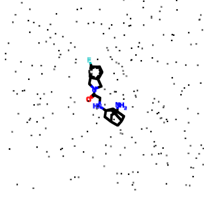 NC12CC3CC(C1)CC(NCC(=O)N1Cc4ccc(F)cc4C1)(C3)C2